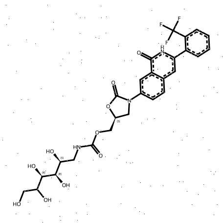 O=C(NC[C@H](O)[C@@H](O)[C@H](O)C(O)CO)OC[C@@H]1CN(c2ccc3cc(-c4ccccc4C(F)(F)F)[nH]c(=O)c3c2)C(=O)O1